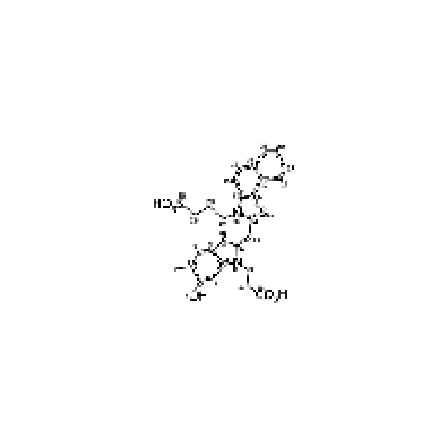 Cc1cc2c(cc1O)N(CCC(=O)O)C(=Cc1sc3c4ccccc4ccc3[n+]1CCCS(=O)(=O)O)S2